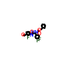 O=Cc1ccc2oc([C@@H](NC(=O)OCc3ccccc3)C3CCC(F)(F)CC3)nc2c1F